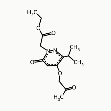 CCOC(=O)Cn1nc(C(C)C)c(OCC(C)=O)cc1=O